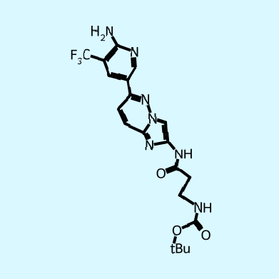 CC(C)(C)OC(=O)NCCC(=O)Nc1cn2nc(-c3cnc(N)c(C(F)(F)F)c3)ccc2n1